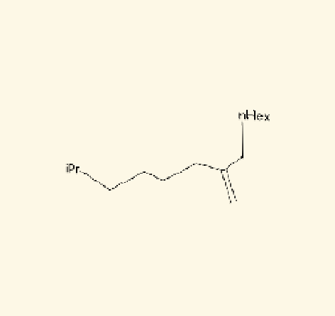 C=C(CCCCCCC)CCCCC(C)C